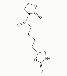 O=C1NCC(CCCCC(=O)N2CCOC2=O)O1